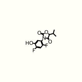 CC(C)C1OC(=O)N(c2cc(O)c(F)cc2F)C1=O